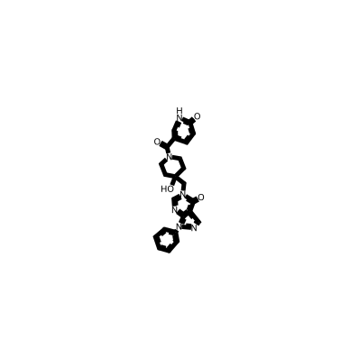 O=C(c1ccc(=O)[nH]c1)N1CCC(O)(Cn2cnc3c(cnn3-c3ccccc3)c2=O)CC1